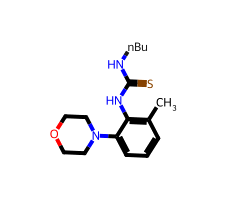 CCCCNC(=S)Nc1c(C)cccc1N1CCOCC1